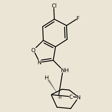 Fc1cc2c(N[C@H]3CN4CCC3CC4)noc2cc1Cl